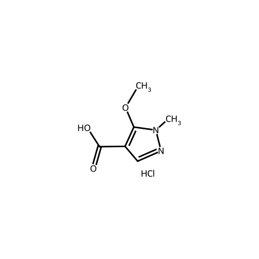 COc1c(C(=O)O)cnn1C.Cl